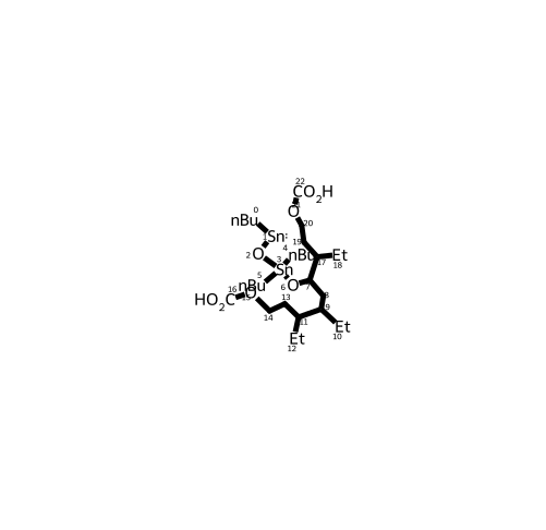 CCC[CH2][Sn][O][Sn]([CH2]CCC)([CH2]CCC)[O]C(CC(CC)C(CC)CCOC(=O)O)C(CC)CCOC(=O)O